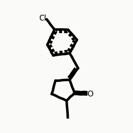 CC1CC/C(=C\c2ccc(Cl)cc2)C1=O